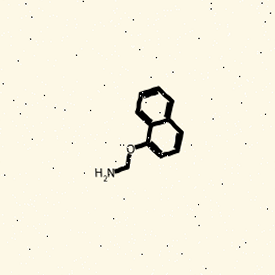 NCOc1cccc2ccccc12